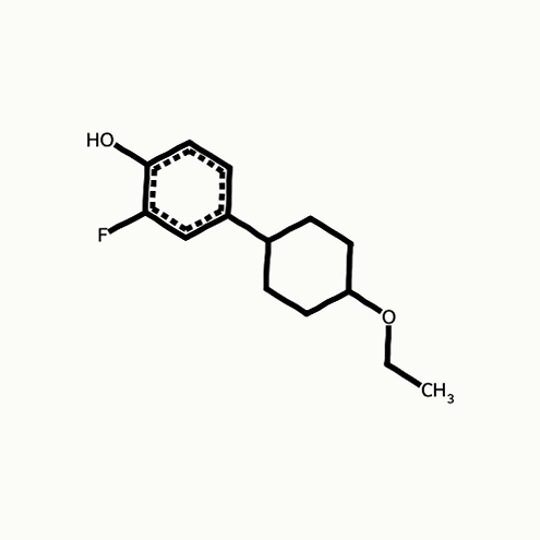 CCOC1CCC(c2ccc(O)c(F)c2)CC1